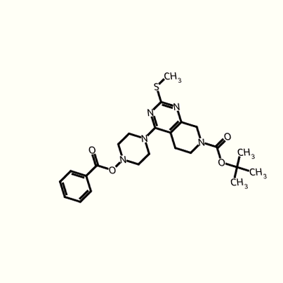 CSc1nc2c(c(N3CCN(OC(=O)c4ccccc4)CC3)n1)CCN(C(=O)OC(C)(C)C)C2